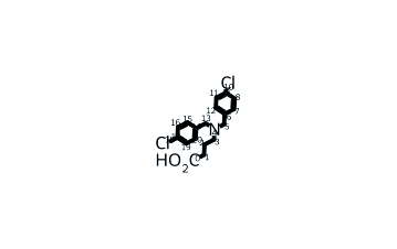 O=C(O)CCCN(Cc1ccc(Cl)cc1)Cc1ccc(Cl)cc1